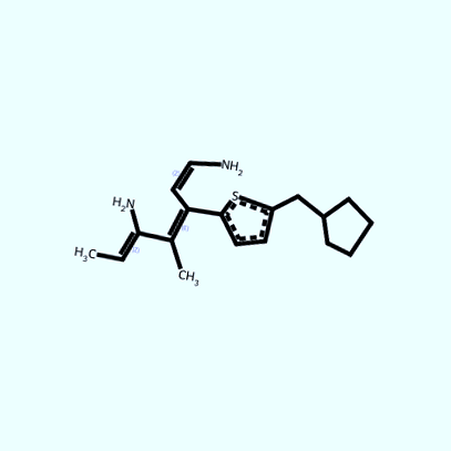 C/C=C(N)/C(C)=C(\C=C/N)c1ccc(CC2CCCC2)s1